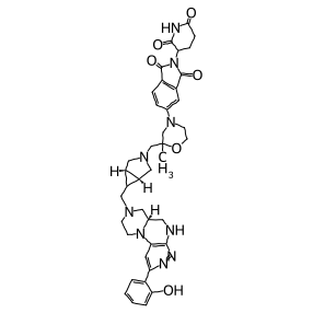 CC1(CN2C[C@@H]3C(CN4CCN5c6cc(-c7ccccc7O)nnc6NC[C@H]5C4)[C@@H]3C2)CN(c2ccc3c(c2)C(=O)N(C2CCC(=O)NC2=O)C3=O)CCO1